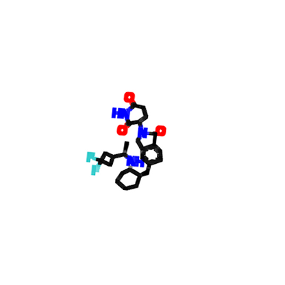 C[C@@H](N[C@H]1CCCC[C@@H]1Cc1ccc2c(c1)CN(C1CCC(=O)NC1=O)C2=O)C1CC(F)(F)C1